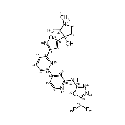 CN1CCC(O)(c2cc(-c3cccc(-c4ccnc(Nc5nnc(C(F)F)o5)n4)n3)no2)C1=O